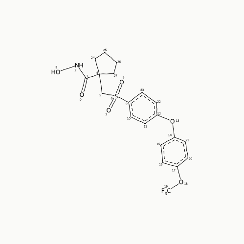 O=C(NO)C1(CS(=O)(=O)c2ccc(Oc3ccc(OC(F)(F)F)cc3)cc2)CCCC1